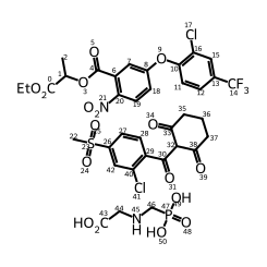 CCOC(=O)C(C)OC(=O)c1cc(Oc2ccc(C(F)(F)F)cc2Cl)ccc1[N+](=O)[O-].CS(=O)(=O)c1ccc(C(=O)C2C(=O)CCCC2=O)c(Cl)c1.O=C(O)CNCP(=O)(O)O